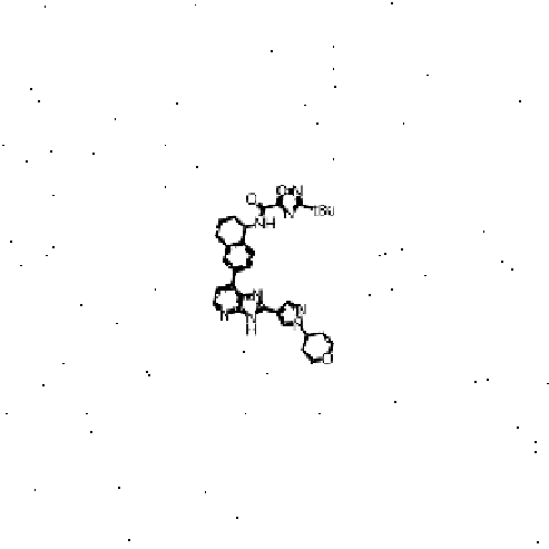 CC(C)(C)c1noc(C(=O)NC2CCCc3cc(-c4ccnc5[nH]c(-c6cnn(C7CCOCC7)c6)nc45)ccc32)n1